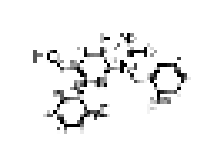 NC(=O)N(Cc1ccccc1F)c1ccc(CO)c(-c2ccccc2Cl)n1